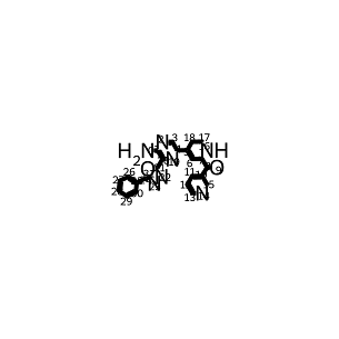 Nc1ncc(C2=CC(C(=O)c3cccnc3)NCC2)nc1-c1nnc(-c2ccccc2)o1